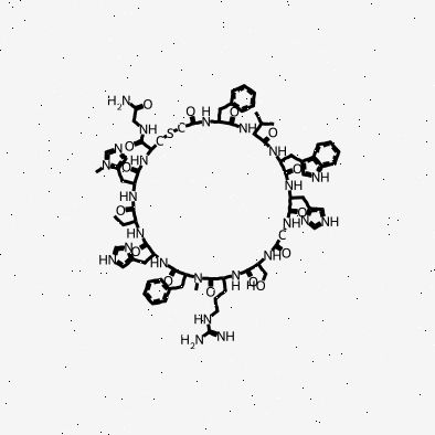 CCC1NC(=O)C(Cc2c[nH]cn2)NC(=O)C(Cc2ccccc2)N(C)C(=O)C(CCCNC(=N)N)NC(=O)C(CO)NC(=O)CNC(=O)C(Cc2c[nH]cn2)NC(=O)C(Cc2c[nH]c3ccccc23)NC(=O)C(C(C)C)NC(=O)C(Cc2ccccc2)NC(=O)CSCC(C(=O)NCC(N)=O)NC(=O)C(Cc2cncn2C)NC1=O